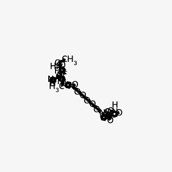 CCCS(=O)(=O)Nc1ccc(F)c(-n2cc(-c3cncnc3)c3nc(N(C)C4CCN(C(=O)CCOCCOCCOCCOCCOCCNc5cccc6c5C(=O)N(C5CCC(=O)NC5=O)C6=O)CC4)ccc32)c1F